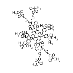 C=C(Cl)C(=O)OCCOCCN(CCOCCOC(=O)C(=C)Cl)C(=O)C(C1CCCC1)N1C(=O)c2cc(Oc3ccc(C(C)(C)C)cc3)c3c4c(Oc5ccc(C(C)(C)C)cc5)cc5c6c(cc(Oc7ccc(C(C)(C)C)cc7)c(c7c(Oc8ccc(C(C)(C)C)cc8)cc(c2c37)C1=O)c64)C(=O)N(C(C(=O)N(CCOCCOC(=O)C(=C)Cl)CCOCCOC(=O)C(=C)Cl)C1CCCC1)C5=O